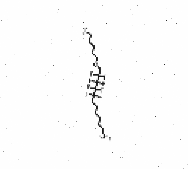 CCCCC[CH]OCC(F)(F)C(F)(F)C(F)(F)C(F)(F)CCCCCCC